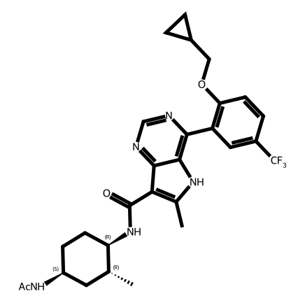 CC(=O)N[C@H]1CC[C@@H](NC(=O)c2c(C)[nH]c3c(-c4cc(C(F)(F)F)ccc4OCC4CC4)ncnc23)[C@H](C)C1